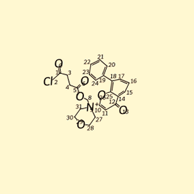 O=C(Cl)CCC(=O)OC[N+]1(c2cc(=O)c3cccc(-c4ccccc4)c3o2)CCOCC1